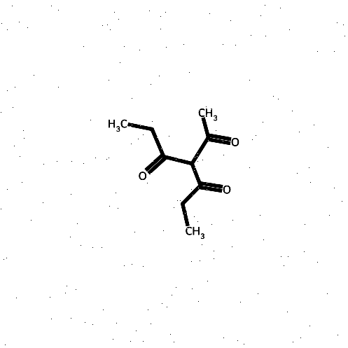 CCC(=O)C(C(C)=O)C(=O)CC